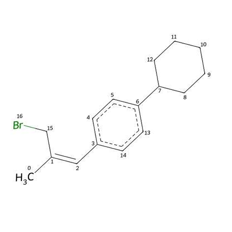 CC(=Cc1ccc(C2CCCCC2)cc1)CBr